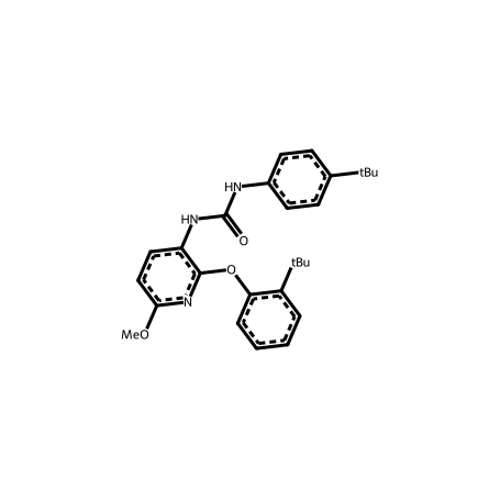 COc1ccc(NC(=O)Nc2ccc(C(C)(C)C)cc2)c(Oc2ccccc2C(C)(C)C)n1